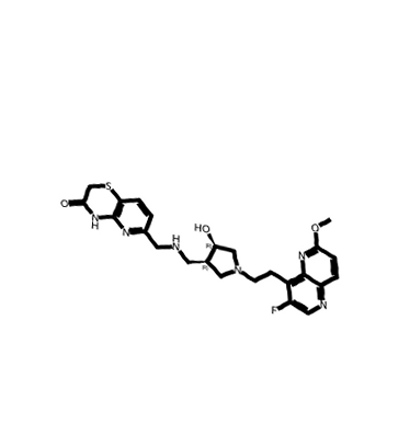 COc1ccc2ncc(F)c(CCN3C[C@@H](CNCc4ccc5c(n4)NC(=O)CS5)[C@@H](O)C3)c2n1